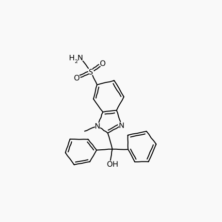 Cn1c(C(O)(c2ccccc2)c2ccccc2)nc2ccc(S(N)(=O)=O)cc21